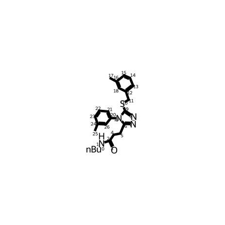 CCCCNC(=O)CCc1nnc(SCc2cccc(C)c2)n1-c1cccc(C)c1